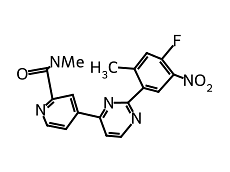 CNC(=O)c1cc(-c2ccnc(-c3cc([N+](=O)[O-])c(F)cc3C)n2)ccn1